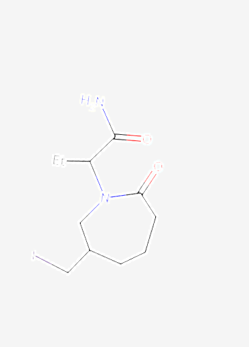 CCC(C(N)=O)N1CC(CI)CCCC1=O